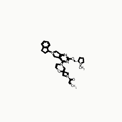 C=CC(=O)N1CC2(C1)CN(c1nc(OC[C@@H]3CCCN3C)nc3c1CN(C1CCc4ccccc41)C3)CCO2